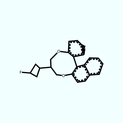 FC1CC(C2COc3ccc4ccccc4c3-c3c(ccc4ccccc34)OC2)C1